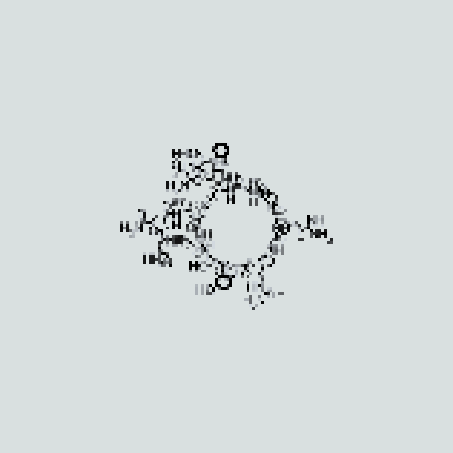 CC(C)C[C@@H]1NC(=O)[C@@H](NC(=O)[C@@H](NC(=O)[C@H](CCC(N)=O)NC(=O)[C@@H](N)Cc2cnc[nH]2)C(C)C)CSSC[C@@H](C(=O)N[C@@H](Cc2ccccc2)C(=O)N[C@@H](CO)C(=O)N[C@H](C(N)=O)[C@@H](C)O)NC(=O)[C@H](C(C)C)NC(=O)[C@@H]2CCCN2C(=O)[C@H](CCCNC(=N)N)NC(=O)CNC(=O)[C@H](CCCNC(=N)N)NC(=O)[C@H](Cc2ccc(O)cc2)NC(=O)[C@H](CO)NC1=O